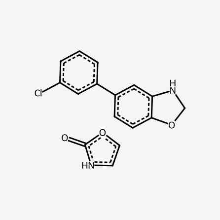 Clc1cccc(-c2ccc3c(c2)NCO3)c1.O=c1[nH]cco1